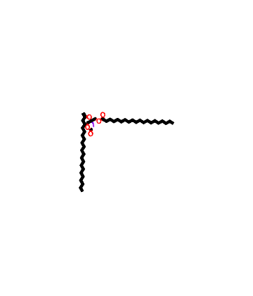 C=C(CCCCCCCCCCCCCCCCCCCC)O[C@@](I)(COC=O)COC(=O)CCCCCCCCCCCCCCCCCCC